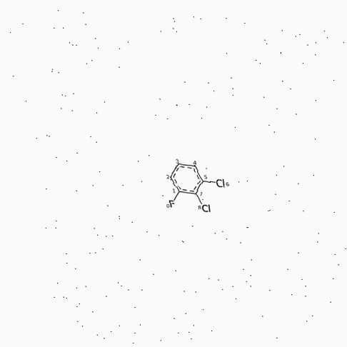 Fc1[c]ccc(Cl)c1Cl